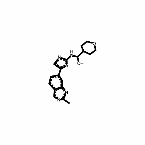 Cc1ncc2ccc(-c3cnc(NC(O)C4CCOCC4)s3)cc2n1